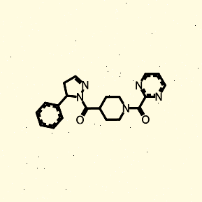 O=C(c1ncccn1)N1CCC(C(=O)N2N=CCC2c2ccccc2)CC1